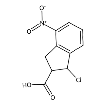 O=C(O)C1Cc2c(cccc2[N+](=O)[O-])C1Cl